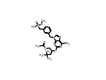 COP(=O)(O)Cc1cccc(Cn2cnc3c(N)nc(OC(COC(N)=O)CC(C)(C)C)nc32)c1